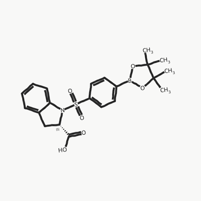 CC1(C)OB(c2ccc(S(=O)(=O)N3c4ccccc4C[C@H]3C(=O)O)cc2)OC1(C)C